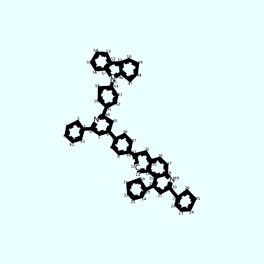 c1ccc(-c2cc(-c3ccc(-c4ccc5c(ccc6nc(-c7ccccc7)cc(-c7ccccc7)c65)c4)cc3)cc(-c3ccc(-n4c5ccccc5c5ccccc54)cc3)n2)cc1